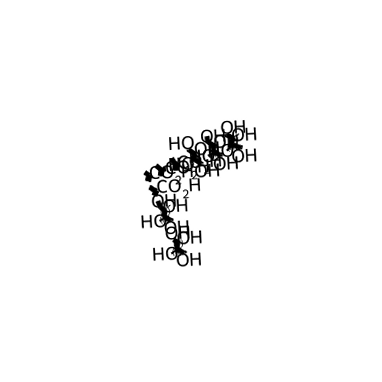 C=C(C)C(=O)O.C=C(C)C(=O)O.C=C(C)C(=O)O.C=C(C)C(=O)O.OC[C@@H](O)[C@@H](O)CO.OC[C@@H](O)[C@@H](O)CO.OC[C@@H](O)[C@@H](O)CO.OC[C@@H](O)[C@@H](O)CO.OC[C@@H](O)[C@@H](O)CO